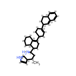 C[C@@H](CC(N)C1CCC(C2CC=C(C3C=C4C=CC=CC4CC3)CC2)=C2CCCCC21)C1C=CNC1